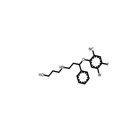 N#Cc1cc(F)c(Br)cc1OC(CCNCCCO)c1ccccc1